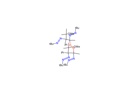 COC(C)(C)C(N=NC(C)(C)C)(C(C)C)C(C)(N=NC(C)(C)C)OOC(C)(N=NC(C)(C)C)C(N=NC(C)(C)C)(C(C)C)C(C)(C)OC